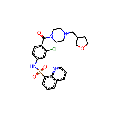 O=C(c1ccc(NS(=O)(=O)c2cccc3cccnc23)cc1Cl)N1CCN(CC2CCOC2)CC1